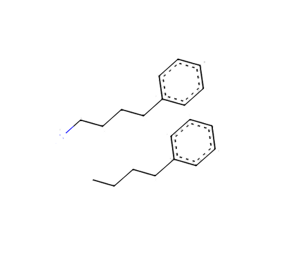 CCCCc1ccccc1.NCCCCc1ccccc1